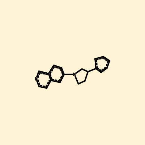 c1ccc(C2CCN(c3ccc4cnccc4c3)C2)cc1